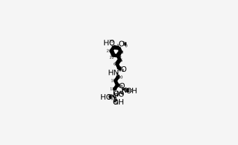 COc1cc(/C=C/C(=O)NCCC(CON(O)O)ON(O)O)ccc1O